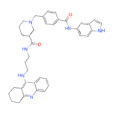 O=C(Nc1ccc2[nH]ccc2c1)c1ccc(CN2CCCC(C(=O)NCCCNc3c4c(nc5ccccc35)CCCC4)C2)cc1